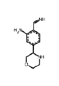 N=Cc1ccc(C2COCCN2)cc1N